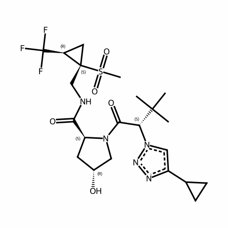 CC(C)(C)[C@@H](C(=O)N1C[C@H](O)C[C@H]1C(=O)NC[C@]1(S(C)(=O)=O)C[C@@H]1C(F)(F)F)n1cc(C2CC2)nn1